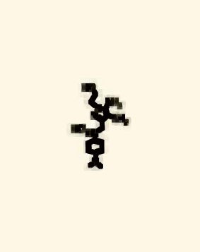 CN(C)c1ccc(NCc2nn(CCO)c(N)c2N)cc1.Cl